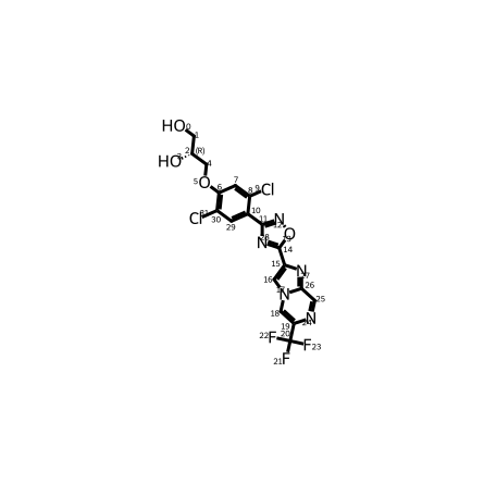 OC[C@@H](O)COc1cc(Cl)c(-c2noc(-c3cn4cc(C(F)(F)F)ncc4n3)n2)cc1Cl